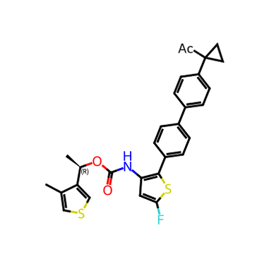 CC(=O)C1(c2ccc(-c3ccc(-c4sc(F)cc4NC(=O)O[C@H](C)c4cscc4C)cc3)cc2)CC1